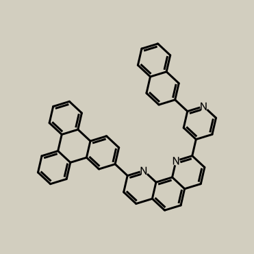 c1ccc2cc(-c3cc(-c4ccc5ccc6ccc(-c7ccc8c9ccccc9c9ccccc9c8c7)nc6c5n4)ccn3)ccc2c1